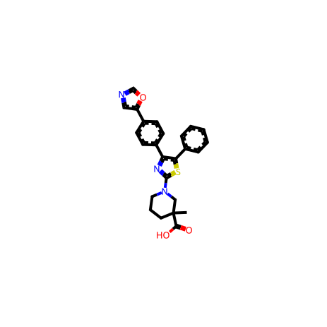 CC1(C(=O)O)CCCN(c2nc(-c3ccc(-c4cnco4)cc3)c(-c3ccccc3)s2)C1